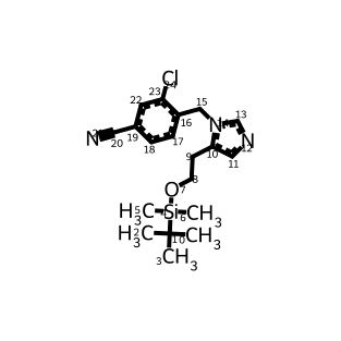 CC(C)(C)[Si](C)(C)OCCc1cncn1Cc1ccc(C#N)cc1Cl